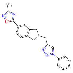 Cc1noc(-c2ccc3c(c2)CC(Cc2cn(-c4ccccc4)nn2)C3)n1